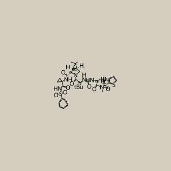 CN(C(=O)[C@@H](NC(=O)N[C@H](C(=O)N1C[C@H]2[C@@H]([C@H]1C(=O)NC1(C(=O)NS(=O)(=O)c3ccccc3)CC1)C2(C)C)C(C)(C)C)C(C)(C)C)S(=O)(=O)c1cccs1